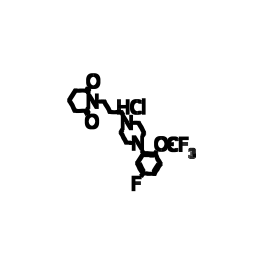 Cl.O=C1CCCC(=O)N1CCCN1CCN(c2cc(F)ccc2OC(F)(F)F)CC1